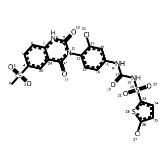 CS(=O)(=O)c1ccc2[nH]c(=O)n(-c3ccc(NC(=O)NS(=O)(=O)c4ccc(Cl)s4)cc3Cl)c(=O)c2c1